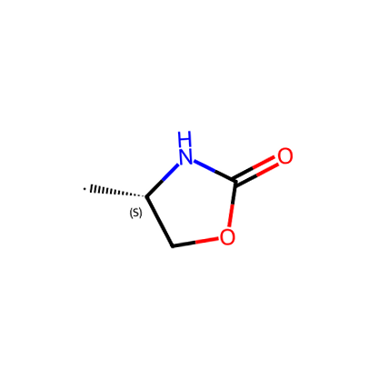 [CH2][C@H]1COC(=O)N1